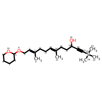 C/C(=C\COC1CCCCO1)CC/C=C(\C)CCC(O)C#C[Si](C)(C)C